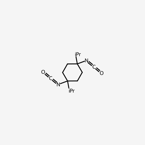 CC(C)C1(N=C=O)CCC(N=C=O)(C(C)C)CC1